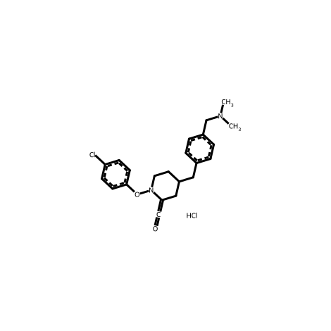 CN(C)Cc1ccc(CC2CCN(Oc3ccc(Cl)cc3)C(=C=O)C2)cc1.Cl